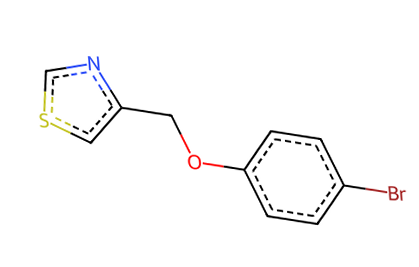 Brc1ccc(OCc2cscn2)cc1